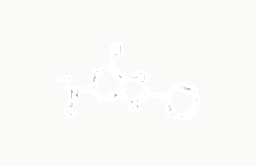 O=[N+]([O-])c1cc(Cl)c2oc(-c3ccccc3)nc2c1